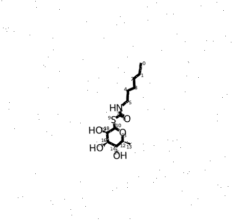 CCCCCCNC(=O)SC1O[C@@H](C)[C@H](O)[C@@H](O)[C@H]1O